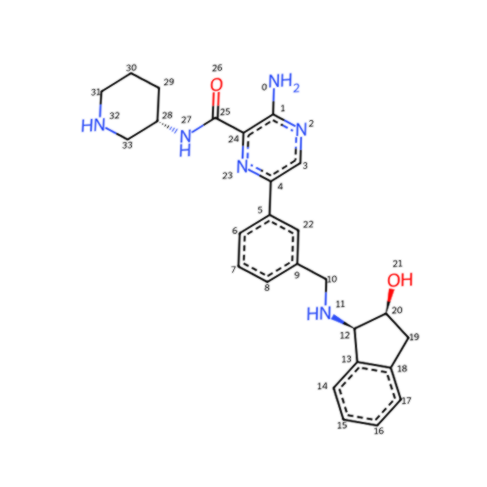 Nc1ncc(-c2cccc(CN[C@@H]3c4ccccc4C[C@@H]3O)c2)nc1C(=O)N[C@H]1CCCNC1